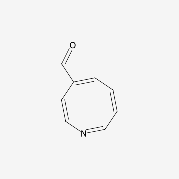 O=CC1=CC=CC=NC=C1